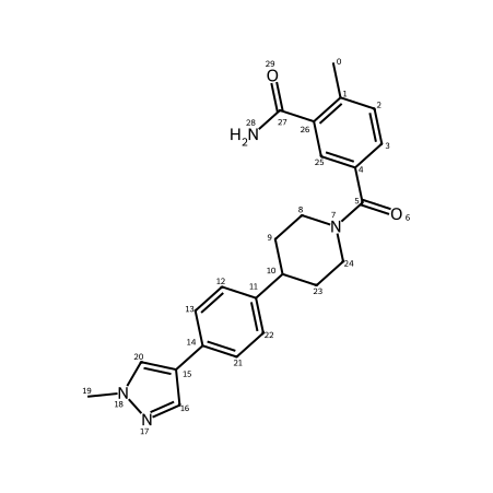 Cc1ccc(C(=O)N2CCC(c3ccc(-c4cnn(C)c4)cc3)CC2)cc1C(N)=O